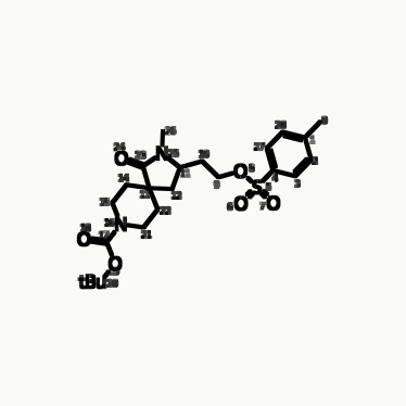 Cc1ccc(S(=O)(=O)OCCC2CC3(CCN(C(=O)OC(C)(C)C)CC3)C(=O)N2C)cc1